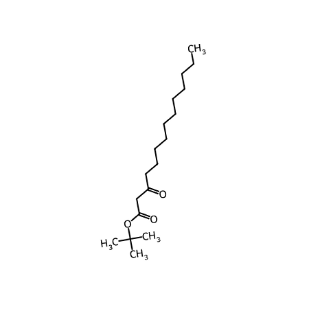 CCCCCCCCCCCC(=O)CC(=O)OC(C)(C)C